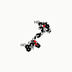 CCc1cccc2cc(O)cc(-c3ncc4c(N5CC6CCC(C5)N6C(=O)OC(C)(C)C)nc(OCCN5CCC(F)(COc6cc([C@H](C(=O)N7C[C@H](O)C[C@H]7C(=O)N[C@@H](C)c7ccc(-c8scnc8C)cc7)C(C)C)on6)CC5)nc4c3F)c12